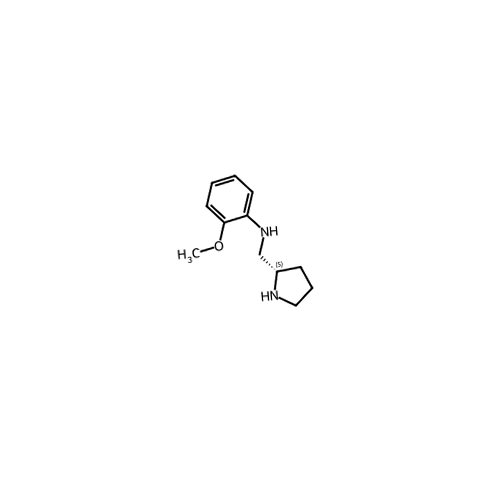 COc1ccccc1NC[C@@H]1CCCN1